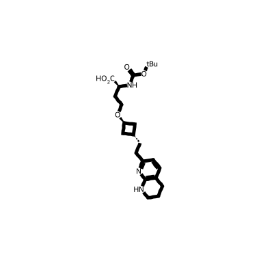 CC(C)(C)OC(=O)N[C@@H](CCO[C@H]1C[C@H](CCc2ccc3c(n2)NCCC3)C1)C(=O)O